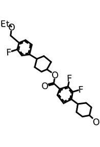 CCOCc1ccc(C2CCC(OC(=O)c3ccc(C4CCC(O)CC4)c(F)c3F)CC2)cc1F